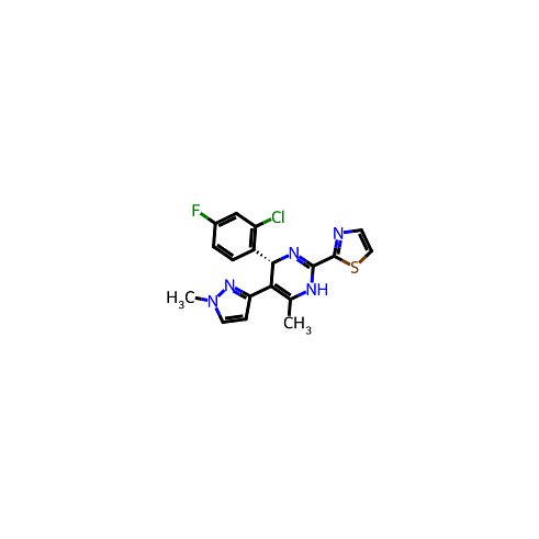 CC1=C(c2ccn(C)n2)[C@H](c2ccc(F)cc2Cl)N=C(c2nccs2)N1